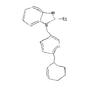 CCC1Nc2ccccc2N1c1ccc(C2C=CCCC2)cc1